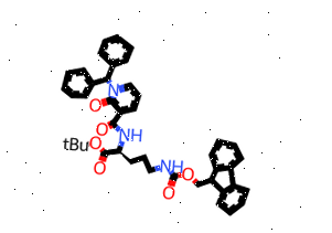 CC(C)(C)OC(=O)[C@H](CCCNC(=O)OCC1c2ccccc2-c2ccccc21)NC(=O)c1cccn(C(c2ccccc2)c2ccccc2)c1=O